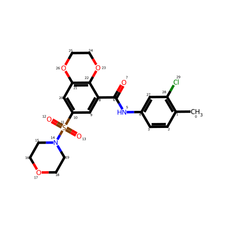 Cc1ccc(NC(=O)c2cc(S(=O)(=O)N3CCOCC3)cc3c2OCCO3)cc1Cl